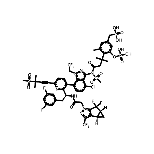 Cc1cc(CP(=O)(O)O)cc(OP(=O)(O)O)c1C(C)(C)CC(=O)N(c1nn(CC(F)(F)F)c2c(-c3ccc(C#CC(C)(C)S(C)(=O)=O)nc3[C@H](Cc3cc(F)cc(F)c3)NC(=O)Cn3nc(C(F)(F)F)c4c3C(F)(F)[C@@H]3C[C@H]43)ccc(Cl)c12)S(C)(=O)=O